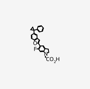 O=C(O)CN1CCc2cc(-c3cc4cc(C5(c6ccccc6)CC5)ccc4o3)c(F)cc21